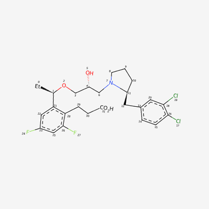 CC[C@@H](OC[C@H](O)CN1CCC[C@H]1Cc1ccc(Cl)c(Cl)c1)c1cc(F)cc(F)c1CCC(=O)O